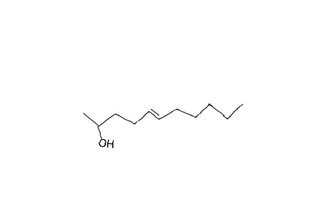 CCCCC/C=C/CCC(C)O